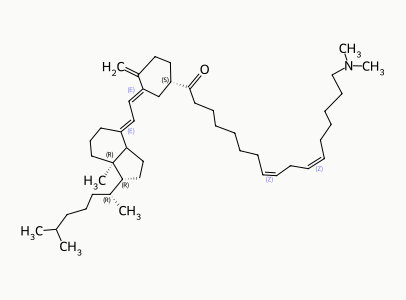 C=C1CC[C@H](C(=O)CCCCCC/C=C\C/C=C\CCCCCN(C)C)C/C1=C\C=C1/CCC[C@@]2(C)C1CC[C@@H]2[C@H](C)CCCC(C)C